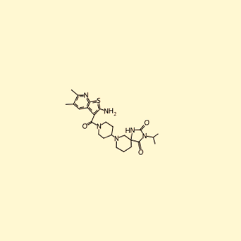 Cc1cc2c(C(=O)N3CCC(N4CCCC5(C4)NC(=O)N(C(C)C)C5=O)CC3)c(N)sc2nc1C